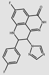 O=c1[nH]nc2c3c(cc(F)cc13)NC(c1ccc(F)cc1)C2n1cncn1